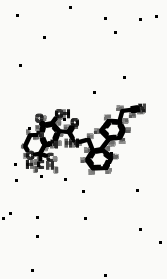 CC1(C)OCCn2c1nc(C(=O)NCc1ccccc1-c1ccc(CC#N)cc1)c(O)c2=O